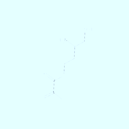 C=C(C)C(=O)OCCC(N)CS(=O)(=O)O